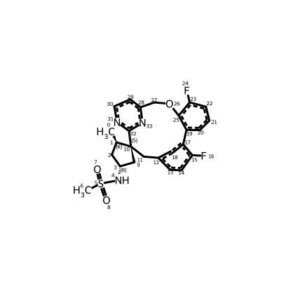 C[C@@H]1C[C@@H](NS(C)(=O)=O)C[C@@]12Cc1ccc(F)c(c1)-c1cccc(F)c1OCc1ccnc2n1